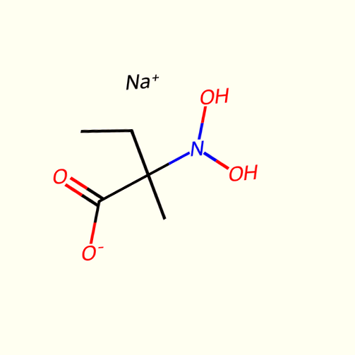 CCC(C)(C(=O)[O-])N(O)O.[Na+]